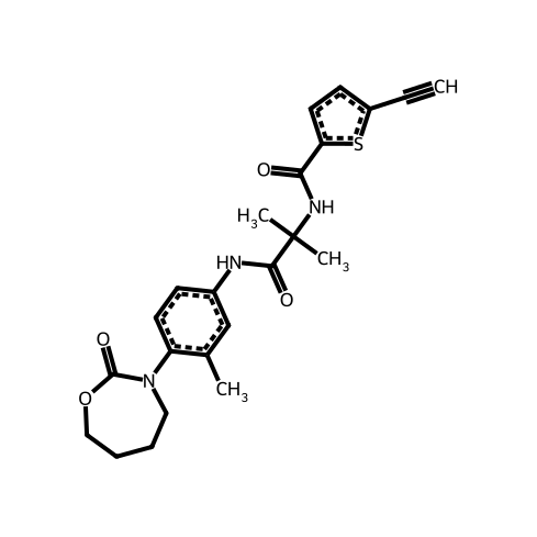 C#Cc1ccc(C(=O)NC(C)(C)C(=O)Nc2ccc(N3CCCCOC3=O)c(C)c2)s1